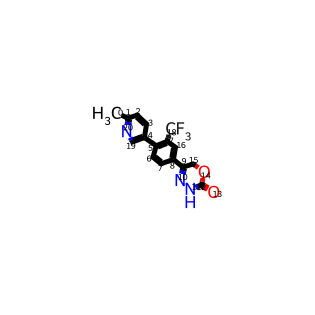 Cc1ccc(-c2ccc(C3=NNC(=O)OC3)cc2C(F)(F)F)cn1